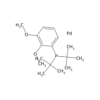 COc1cccc(P(C(C)(C)C)C(C)(C)C)c1OC.[Pd]